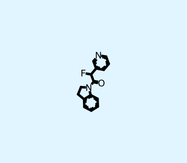 O=C(C(F)c1cccnc1)N1CCc2ccccc21